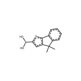 CC1(C)c2ccccc2-c2oc(B(O)O)cc21